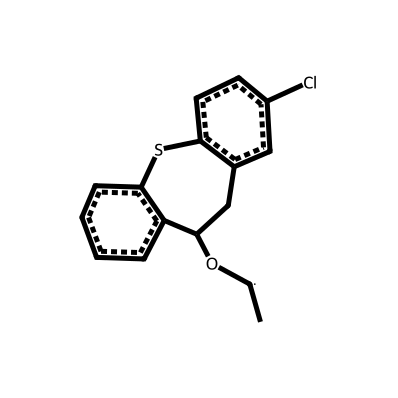 C[CH]OC1Cc2cc(Cl)ccc2Sc2ccccc21